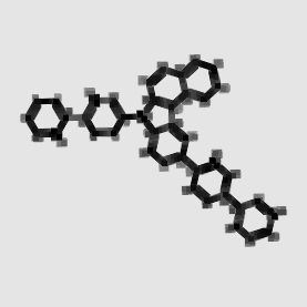 c1ccc(-c2ccc(-n3c4ccc(-c5ccc(-c6cccnc6)cn5)cc4c4c5ccccc5ccc43)cn2)nc1